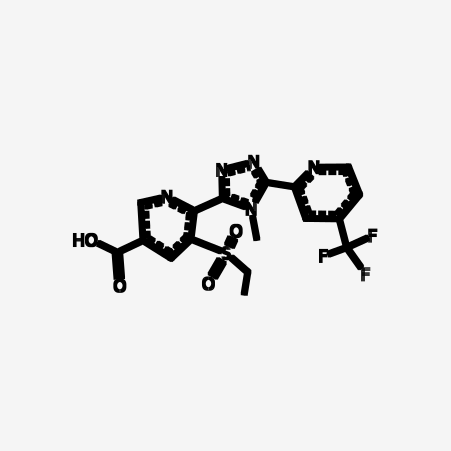 CCS(=O)(=O)c1cc(C(=O)O)cnc1-c1nnc(-c2cc(C(F)(F)F)ccn2)n1C